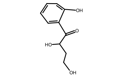 O=C(c1ccccc1O)C(O)CCO